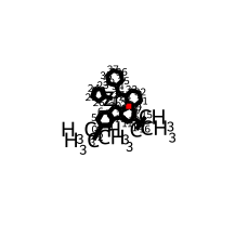 CC(C)(C)c1ccc2c(c1)-c1cc(C(C)(C)C)ccc1[CH]2[Zr]([C]1=CC=CC1)=[C](C1CCCCC1)C1CCCCC1